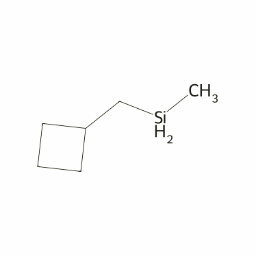 C[SiH2]CC1CCC1